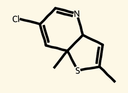 CC1=CC2N=CC(Cl)=CC2(C)S1